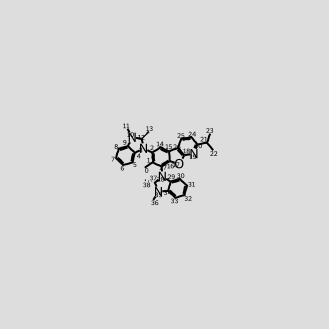 Cc1c(N2c3ccccc3N(C)[C@H]2C)cc2c(oc3nc(C(C)C)ccc32)c1N1c2ccccc2N(C)[C@@H]1C